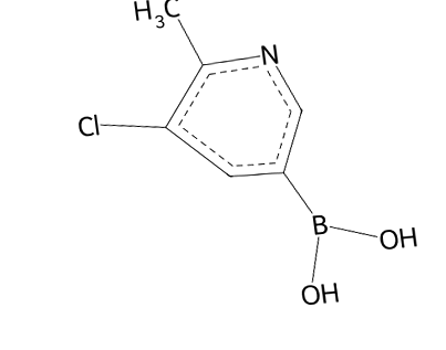 Cc1ncc(B(O)O)cc1Cl